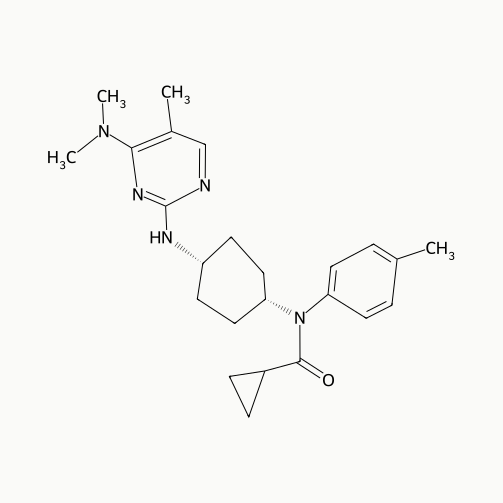 Cc1ccc(N(C(=O)C2CC2)[C@H]2CC[C@@H](Nc3ncc(C)c(N(C)C)n3)CC2)cc1